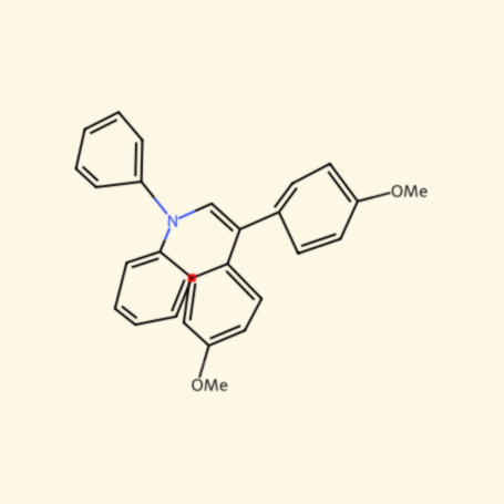 COc1ccc(C(=CN(c2ccccc2)c2ccccc2)c2ccc(OC)cc2)cc1